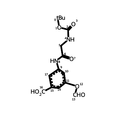 CC(C)(C)OC(=O)NCC(=O)Nc1cc(OC=O)cc(C(=O)O)c1